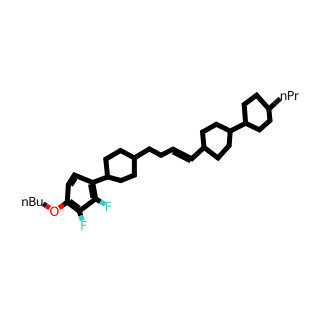 CCCCOc1ccc(C2CCC(CC/C=C/C3CCC(C4CCC(CCC)CC4)CC3)CC2)c(F)c1F